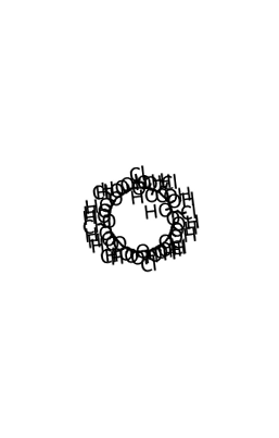 O/C1=C(\O)C(CCCl)OC(O)/C(O)=C(/O)C(CCCl)OC(O)C(O)C(O)C(CCCl)OC(O)C(O)C(O)C(CCCl)OC(O)C(O)C(O)C(CCCl)OC(O)/C(O)=C(/O)C(CCCl)OC(O)/C(O)=C(\O)C(CCCl)OC(O)/C(O)=C(\O)C(CCCl)OC1O